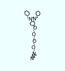 [N-]=[N+]=NCCOCCOCCOCCOc1ccc2c(c1)[n+](Cc1ccccc1)cn2Cc1ccccc1